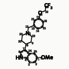 COc1ccc2[nH]cc(C3CCN(Cc4cccc(OCC(F)(F)F)c4)CC3)c2c1